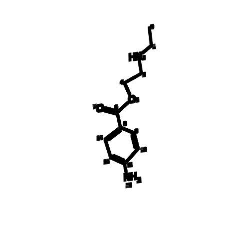 CCNCCOC(=O)c1ccc(N)cc1